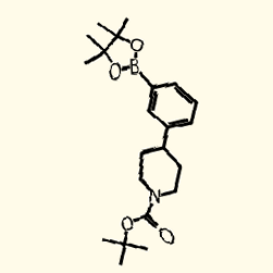 CC(C)(C)OC(=O)N1CCC(c2cccc(B3OC(C)(C)C(C)(C)O3)c2)CC1